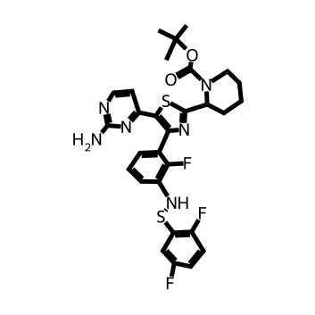 CC(C)(C)OC(=O)N1CCCCC1c1nc(-c2cccc(NSc3cc(F)ccc3F)c2F)c(-c2ccnc(N)n2)s1